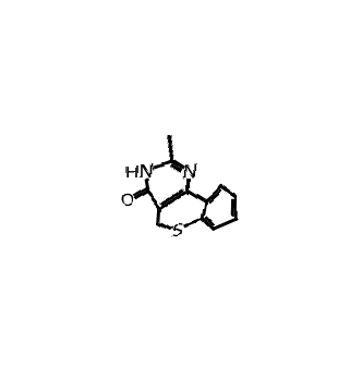 Cc1nc2c(c(=O)[nH]1)CSc1ccccc1-2